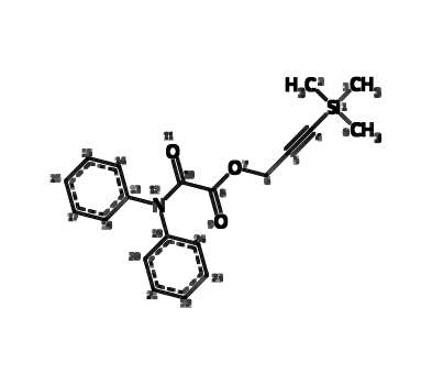 C[Si](C)(C)C#CCOC(=O)C(=O)N(c1ccccc1)c1ccccc1